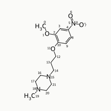 COc1cc([N+](=O)[O-])ccc1OCCCN1CCN(C)CC1